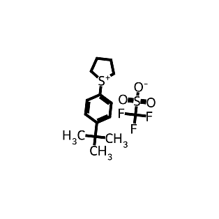 CC(C)(C)c1ccc([S+]2CCCC2)cc1.O=S(=O)([O-])C(F)(F)F